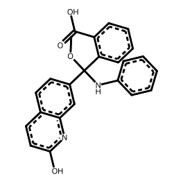 COC(Nc1ccccc1)(c1ccc2ccc(O)nc2c1)c1ccccc1C(=O)O